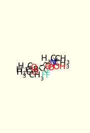 CC(C)(C)N(Cc1cc2cc(B3OC(C)(C)C(C)(C)O3)cc(C(F)(F)F)c2o1)C(=O)O